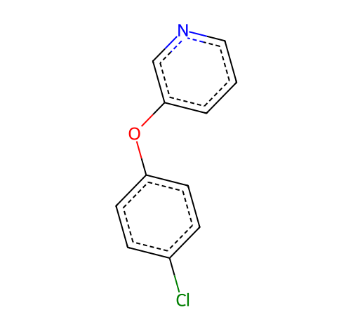 Clc1ccc(Oc2cccnc2)cc1